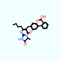 CCCCc1nc2n(c(=O)c1Cc1ccc(-c3ccccc3C(=O)O)cc1)C(C)C(=O)N2